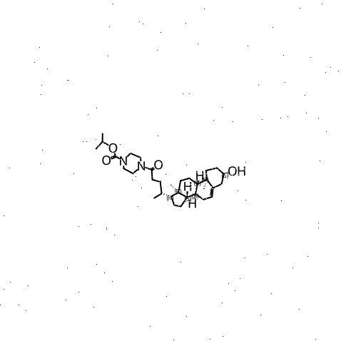 CC(C)OC(=O)N1CCN(C(=O)CCC(C)[C@H]2CC[C@H]3[C@@H]4CC=C5C[C@@H](O)CC[C@]5(C)[C@H]4CC[C@]23C)CC1